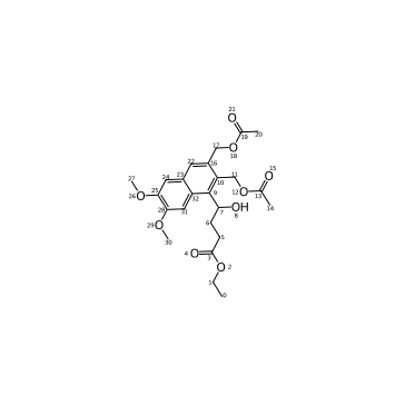 CCOC(=O)CCC(O)c1c(COC(C)=O)c(COC(C)=O)cc2cc(OC)c(OC)cc12